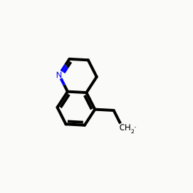 [CH2]Cc1cccc2c1CCC=N2